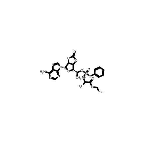 CC(NP(=O)(Oc1ccccc1)OC(C)[C@H]1O[C@@H](n2cnc3c(N)ncnc32)C2OC(=O)OC21)C(=O)OCC(C)(C)C